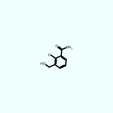 NC(=O)c1cccc(CO)c1Cl